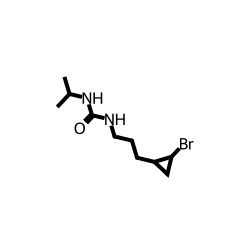 CC(C)NC(=O)NCCCC1CC1Br